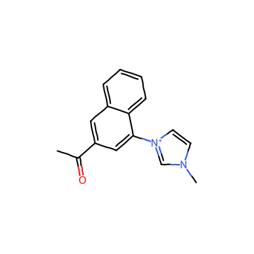 CC(=O)c1cc(-[n+]2ccn(C)c2)c2ccccc2c1